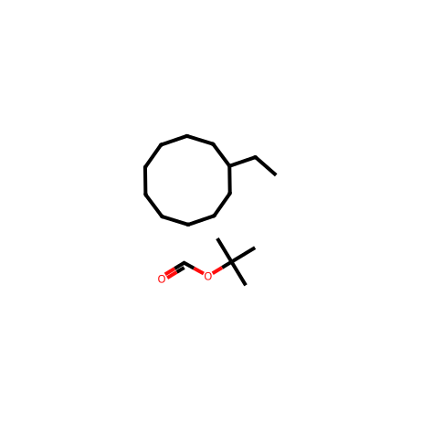 CC(C)(C)OC=O.CCC1CCCCCCCCC1